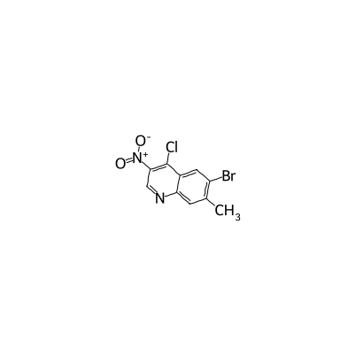 Cc1cc2ncc([N+](=O)[O-])c(Cl)c2cc1Br